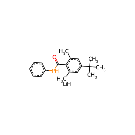 Cc1cc(C(C)(C)C)cc(C)c1C(=O)Pc1ccccc1.[LiH]